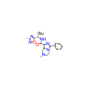 Cc1noc(C(NC(=O)c2nc(-c3ccccc3)n3c2CN(C)CC3)C(C)(C)C)n1